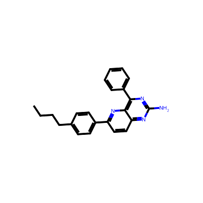 CCCCc1ccc(-c2ccc3nc(N)nc(-c4ccccc4)c3n2)cc1